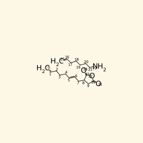 C=CCCCC=CCC1CC(=O)OC1=O.C=CCCCCCN